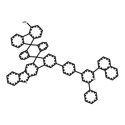 CCCc1cccc2c1-c1ccccc1C21c2ccccc2C2(c3ccc(-c4ccc(-c5cc(-c6ccccc6)nc(-c6cccc7ccccc67)c5)cc4)cc3-c3cc4sc5ccccc5c4cc32)c2ccccc21